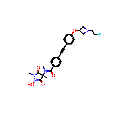 CNC(=O)[C@@](C)(C(=O)NO)N(C)C(=O)c1ccc(C#Cc2ccc(OC3CN(CCF)C3)cc2)cc1